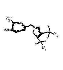 Cc1nc(Cn2cc(C(F)(F)C(F)(F)F)c(C(F)(F)C(F)(F)F)n2)ccc1N